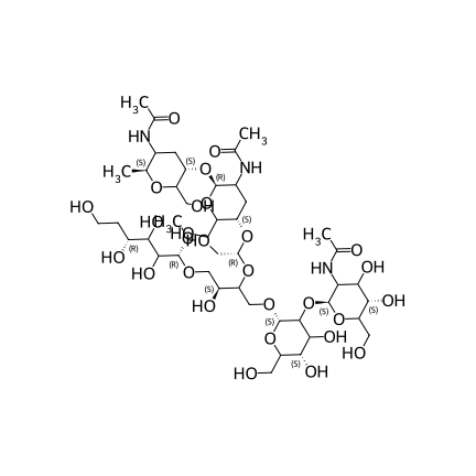 CO[C@H](OC[C@H](O)C(CO[C@H]1OC(CO)[C@@H](O)C(O)C1O[C@@H]1OC(CO)[C@@H](O)C(O)C1NC(C)=O)O[C@H](CO)O[C@H]1CC(NC(C)=O)[C@H](O[C@H]2CC(NC(C)=O)[C@H](C)OC2CO)OC1CO)C(O)C(O)[C@H](O)CCO